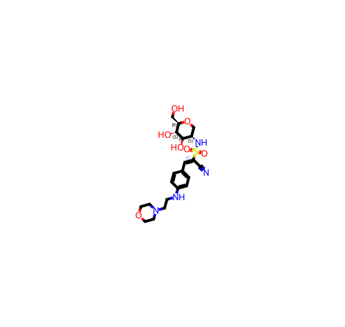 N#C/C(=C\c1ccc(NCCN2CCOCC2)cc1)S(=O)(=O)N[C@H]1CO[C@H](CO)[C@@H](O)[C@@H]1O